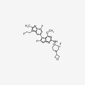 COc1nc(N[C@@H]2CCN(C3COC3)C[C@H]2F)nn2cc(F)c(-c3cc(F)c4nc(C)n(CCF)c4c3)c12